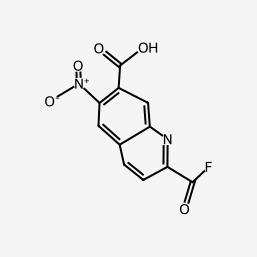 O=C(F)c1ccc2cc([N+](=O)[O-])c(C(=O)O)cc2n1